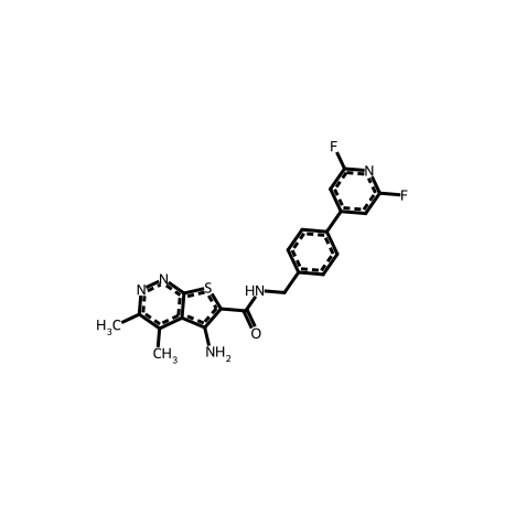 Cc1nnc2sc(C(=O)NCc3ccc(-c4cc(F)nc(F)c4)cc3)c(N)c2c1C